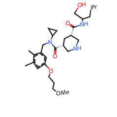 COCCCOc1cc(C)c(C)c(CN(C(=O)[C@H]2CNC[C@@H](C(=O)NC(CO)CC(C)C)C2)C2CC2)c1